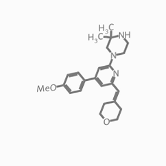 COc1ccc(-c2cc(C=C3CCOCC3)nc(N3CCNC(C)(C)C3)c2)cc1